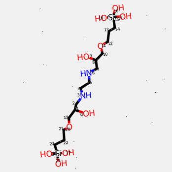 OC(CNCCNCC(O)COCCC[Si](O)(O)O)COCCC[Si](O)(O)O